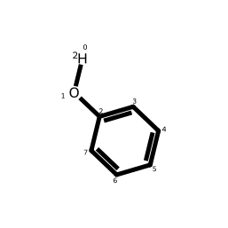 [2H]Oc1ccccc1